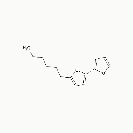 CCCCCCc1ccc(-c2ccco2)o1